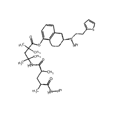 CCCNC(=O)C(C)CC(C)C(=O)NC(C)(C)CC(C)(C)C(=O)Oc1cccc2c1CC[C@H](N(CCC)CCc1cccs1)C2